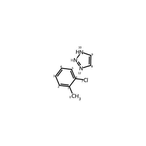 Cc1ccccc1Cl.c1c[nH]nn1